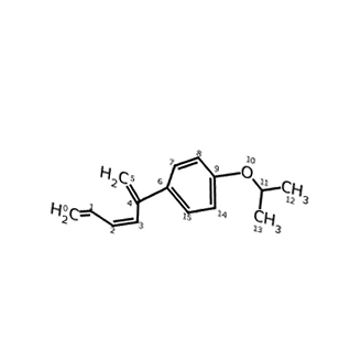 C=C/C=C\C(=C)c1ccc(OC(C)C)cc1